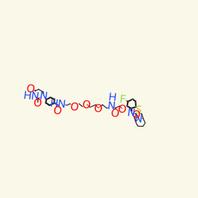 O=C(COc1c(F)ccc2sc(N3C4CCCC3COC4)nc12)NCCOCCOCCOCCNC(=O)c1ccc(N2CCC(=O)NC2=O)cc1